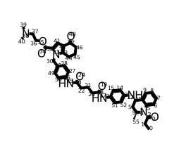 CCC(=O)N1c2ccccc2[C@H](Nc2ccc(NC(=O)CCCC(=O)Nc3ccc(Cn4c(C(=O)OCCN(C)C)cc5c4CCCC5=O)cc3)cc2)C[C@@H]1C